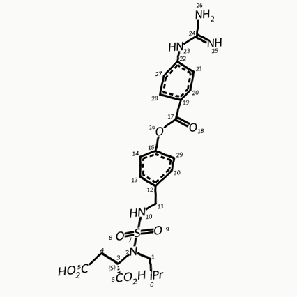 CC(C)CN([C@@H](CC(=O)O)C(=O)O)S(=O)(=O)NCc1ccc(OC(=O)c2ccc(NC(=N)N)cc2)cc1